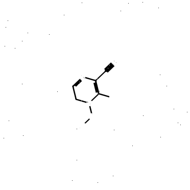 CON1CC=NC(C#N)=C1Cl